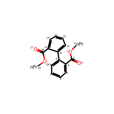 CCCOC(=O)c1ccccc1-c1ccccc1C(=O)OCCC